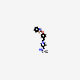 O=[C]NCC1CCN(CCc2ccc(Oc3nc4ccccc4s3)cc2)CC1